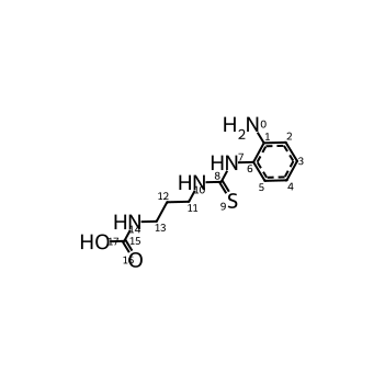 Nc1ccccc1NC(=S)NCCCNC(=O)O